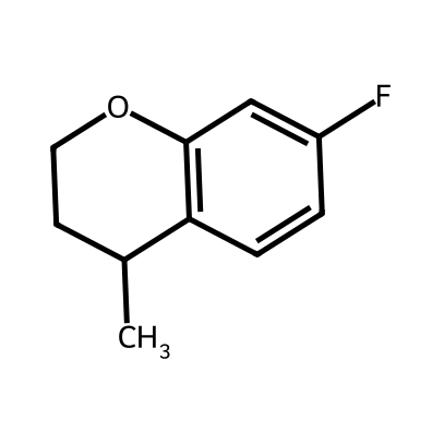 CC1CCOc2cc(F)ccc21